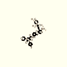 CN1CCN(C(C)(C)C#Cc2c(Oc3ccc(NC(=O)c4cn(C5CCOCC5)c(=O)n(-c5ccc(F)cc5)c4=O)cc3F)ccnc2N)CC1